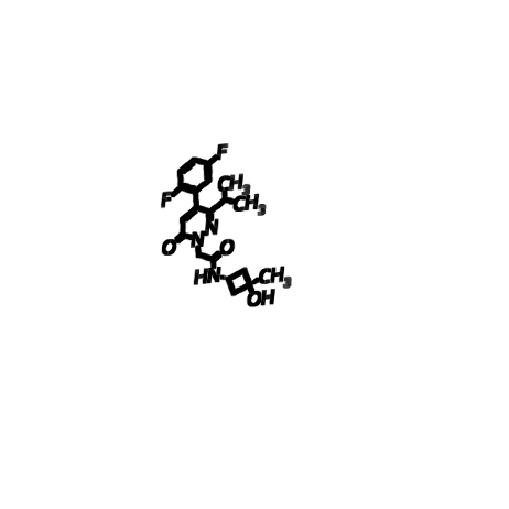 CC(C)c1nn(CC(=O)N[C@H]2C[C@@](C)(O)C2)c(=O)cc1-c1cc(F)ccc1F